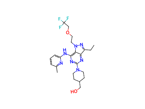 CCc1nn(CCOCC(F)(F)F)c2c(Nc3cccc(C)n3)nc(N3CCC(CO)CC3)nc12